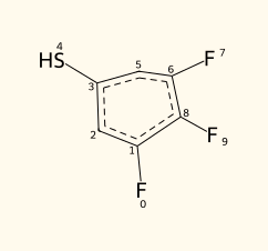 Fc1cc(S)cc(F)c1F